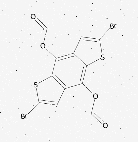 O=COc1c2cc(Br)sc2c(OC=O)c2cc(Br)sc12